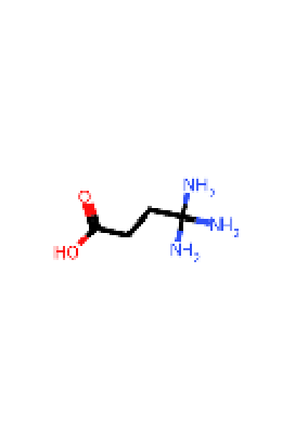 NC(N)(N)CCC(=O)O